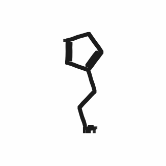 CCCCCC1=CC[C]=C1